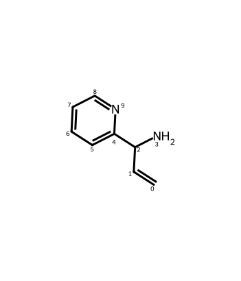 C=CC(N)c1ccccn1